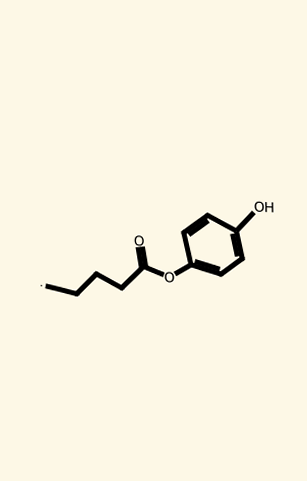 [CH2]CCCC(=O)Oc1ccc(O)cc1